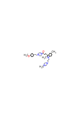 COc1ccc(CCN2CCN(C(=O)/C=C/c3c(C)n(CCCN4CCN(C)CC4)c4ccc(C)cc34)CC2)cc1